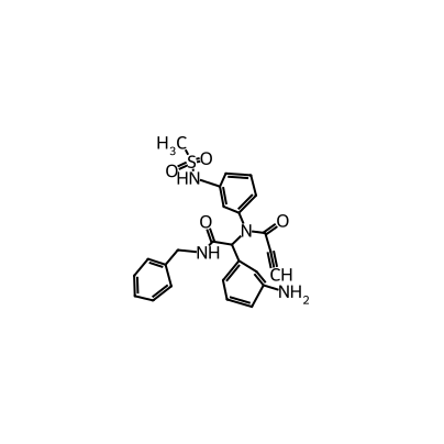 C#CC(=O)N(c1cccc(NS(C)(=O)=O)c1)C(C(=O)NCc1ccccc1)c1cccc(N)c1